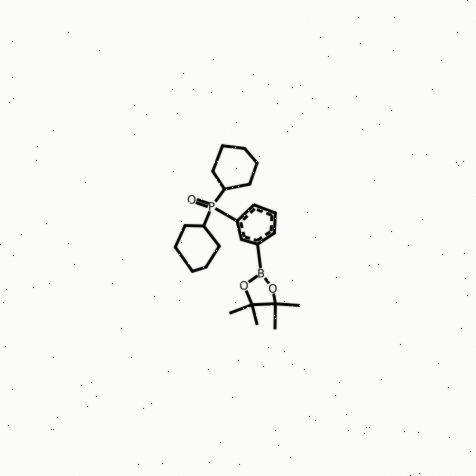 CC1(C)OB(c2cccc(P(=O)(C3CCCCC3)C3CCCCC3)c2)OC1(C)C